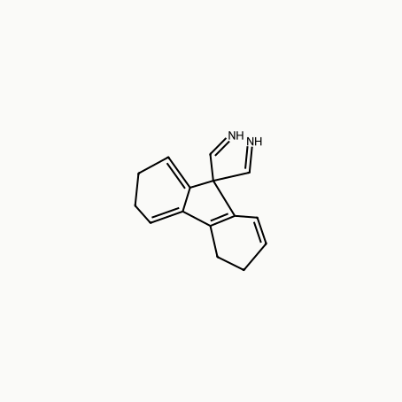 N=CC1(C=N)C2=CCCC=C2C2=C1C=CCC2